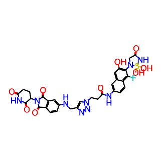 O=C1CCC(N2C(=O)c3ccc(NCc4cn(CCC(=O)Nc5ccc6c(F)c(N7CC(=O)NS7(O)O)c(O)cc6c5)nn4)cc3C2=O)C(=O)N1